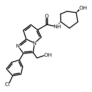 O=C(N[C@H]1CC[C@H](O)CC1)c1ccc2nc(-c3ccc(Cl)cc3)c(CO)n2c1